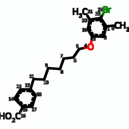 Cc1cc(OCCCCCCCc2ccc(C(=O)O)cc2)cc(C)c1Br